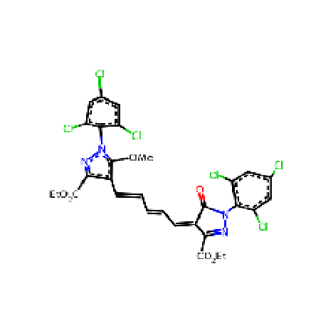 CCOC(=O)C1=NN(c2c(Cl)cc(Cl)cc2Cl)C(=O)C1=CC=CC=Cc1c(C(=O)OCC)nn(-c2c(Cl)cc(Cl)cc2Cl)c1OC